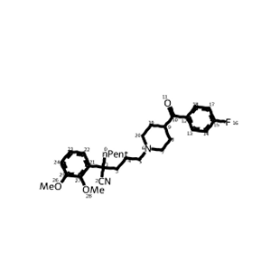 CCCCCC(C#N)(CCCN1CCC(C(=O)c2ccc(F)cc2)CC1)c1cccc(OC)c1OC